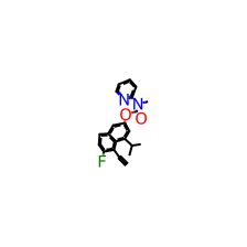 C#Cc1c(F)ccc2cc(OC(=O)N(C)c3ccccn3)cc(C(C)C)c12